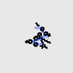 CCCCCCCCNC1(C(N)CCCCCCC)c2cc(N(c3ccc(C(C)(C)C)cc3)c3cccc(NCCCC)c3)ccc2-c2ccc(N(c3ccc(C(C)(C)C)cc3)c3cccc(NCCCC)c3)cc21